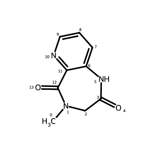 CN1CC(=O)Nc2cccnc2C1=O